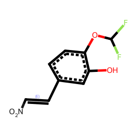 O=[N+]([O-])/C=C/c1ccc(OC(F)F)c(O)c1